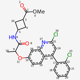 COC(=O)C1CC(NC(=O)C(C)Oc2ccc3c(-c4ccccc4Cl)cc(Cl)nc3c2)C1